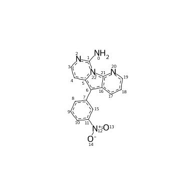 Nc1nccc2c(-c3cccc([N+](=O)[O-])c3)c3cccnc3n12